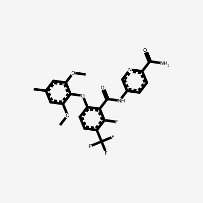 COc1cc(C)cc(OC)c1Oc1ccc(C(F)(F)F)c(F)c1C(=O)Nc1ccc(C(N)=O)nc1